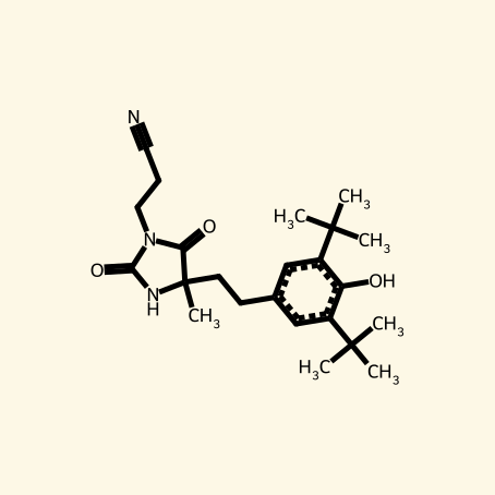 CC1(CCc2cc(C(C)(C)C)c(O)c(C(C)(C)C)c2)NC(=O)N(CCC#N)C1=O